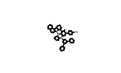 Cc1c(-c2ccc(C#N)cc2)cc2c3c1-c1cccc4c5c6ccccc6ccc5n(c14)B3c1ccccc1N2c1cc(-c2ccccc2)cc(-c2ccccc2)c1